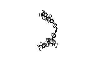 CC1(C)[C@H](NC(=O)c2ccc(C#CCN3CCN(c4ccc5c(=O)n(C6CCC(=O)NC6=O)nnc5c4)CC3)nc2)C(C)(C)[C@H]1Oc1ccc(C#N)c(Cl)c1